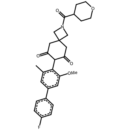 COc1cc(-c2ccc(F)cc2)cc(C)c1C1C(=O)CC2(CC1=O)CN(C(=O)C1CCOCC1)C2